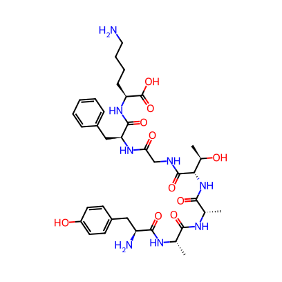 C[C@H](NC(=O)[C@H](C)NC(=O)[C@@H](N)Cc1ccc(O)cc1)C(=O)N[C@H](C(=O)NCC(=O)N[C@@H](Cc1ccccc1)C(=O)N[C@@H](CCCCN)C(=O)O)[C@@H](C)O